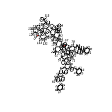 CCC1O[C@@H](OC2[C@H](O[C@H]3CCC4(C)C5CC=C6C7CC(C)(C)CC[C@]7(C(=O)OC7([C@@H]8OC(C)[C@H](O[C@@H]9OC[C@@H](OCc%10ccccc%10)C(O[C@@H]%10OC[C@@]%11(CC)O[C@@H](c%12ccccc%12)OC%10%11)C9C)C9OC(C)(C)OC98)OC8C(C)[C@@H](N=[N+]=[N-])C(COCc9ccccc9)O[C@H]87)C(OC)C[C@@]6(C)[C@@]5(C)CC[C@H]4[C@@]3(C)C=O)OC(C(C)=O)[C@@H](C)[C@@H]2O[C@@H]2OC[C@@H](C)[C@H](C)C2C)C(C)[C@@H](C)[C@H]1C